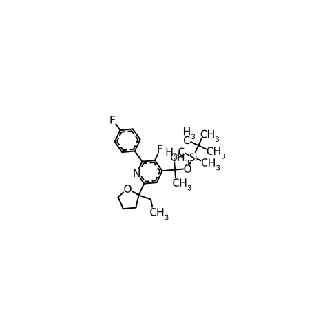 CCC1(c2cc(C(C)(C)O[Si](C)(C)C(C)(C)C)c(F)c(-c3ccc(F)cc3)n2)CCCO1